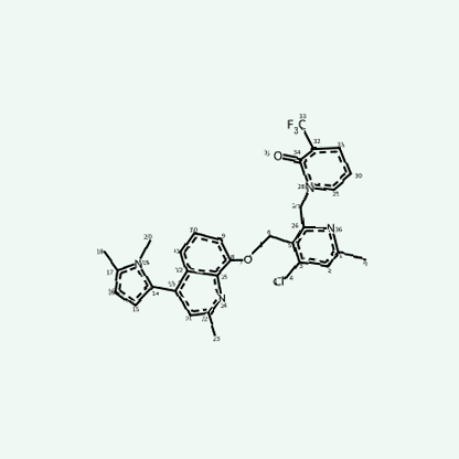 Cc1cc(Cl)c(COc2cccc3c(-c4ccc(C)n4C)cc(C)nc23)c(Cn2cccc(C(F)(F)F)c2=O)n1